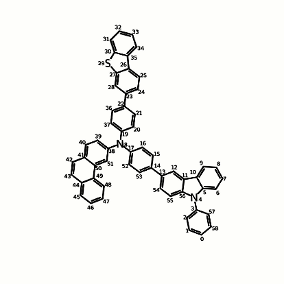 c1ccc(-n2c3ccccc3c3cc(-c4ccc(N(c5ccc(-c6ccc7c(c6)sc6ccccc67)cc5)c5ccc6ccc7ccccc7c6c5)cc4)ccc32)cc1